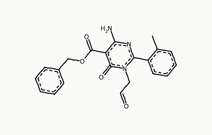 Cc1ccccc1-c1nc(N)c(C(=O)OCc2ccccc2)c(=O)n1CC=O